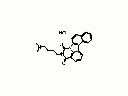 CN(C)CCCCn1c(=O)c2cccc3c4c5ccccc5ccc4n(c1=O)c23.Cl